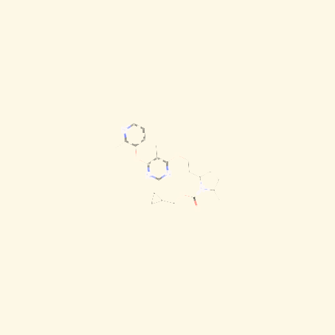 Cc1ncccc1Oc1ncnc(O[C@H](C)CC2CCC(C)N2C(=O)OCC2CC2)c1C